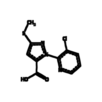 CSc1cc(C(=O)O)n(-c2ncccc2Cl)n1